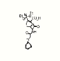 CCOP(=O)(OCC)C1=C(C(=O)O)N2C(=O)C(NC(=O)COc3ccccc3)C2CC1